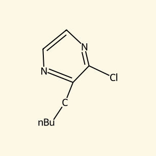 CCCCCc1nccnc1Cl